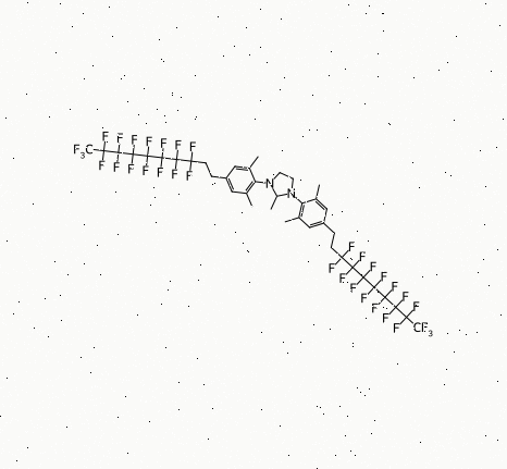 Cc1cc(CCC(F)(F)C(F)(F)C(F)(F)C(F)(F)C(F)(F)C(F)(F)C(F)(F)C(F)(F)F)cc(C)c1N1CCN(c2c(C)cc(CCC(F)(F)C(F)(F)C(F)(F)C(F)(F)C(F)(F)C(F)(F)C(F)(F)C(F)(F)F)cc2C)C1C